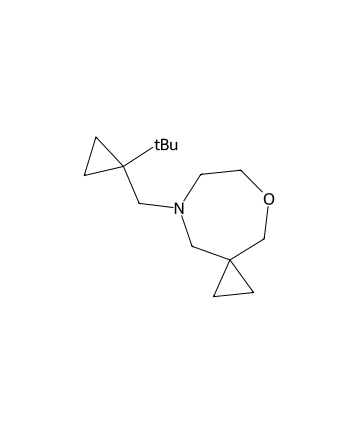 CC(C)(C)C1(CN2CCOCC3(CC3)C2)CC1